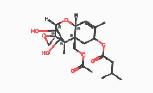 CC(=O)OC[C@]12CC(OC(=O)CC(C)C)C(C)=C[C@H]1O[C@@H]1C(O)C(O)[C@@]2(C)[C@]12CO2